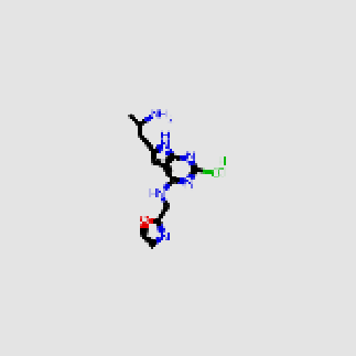 CC(N)Cc1cc2c(NCc3ncco3)nc(Cl)nc2[nH]1.Cl